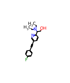 CCN(CC)C(CO)c1ccc(C#Cc2ccc(F)cc2)cn1